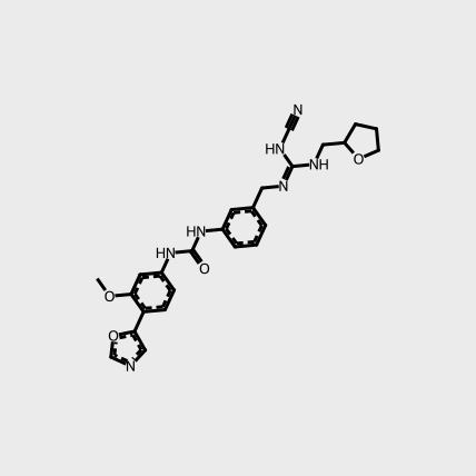 COc1cc(NC(=O)Nc2cccc(CN=C(NC#N)NCC3CCCO3)c2)ccc1-c1cnco1